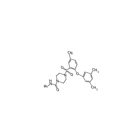 Cc1cc(C)cc(Oc2ccc(C#N)cc2S(=O)(=O)N2CCN(C(=O)NC(C)C)CC2)c1